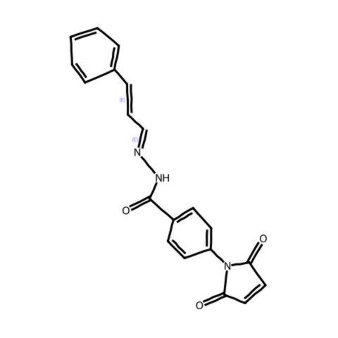 O=C(N/N=C/C=C/c1ccccc1)c1ccc(N2C(=O)C=CC2=O)cc1